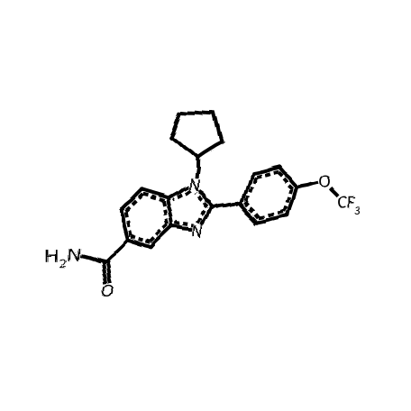 NC(=O)c1ccc2c(c1)nc(-c1ccc(OC(F)(F)F)cc1)n2C1CCCC1